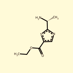 CCOC(=O)c1cnc([C@@H](C)N)s1